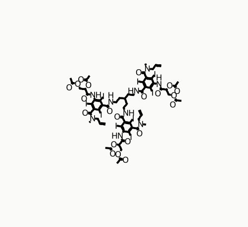 C=CCN(C)C(=O)c1c(I)c(NC(=O)C(COC(C)=O)OC(C)=O)c(I)c(C(=O)NCCC(CCNC(=O)c2c(I)c(NC(=O)C(COC(C)=O)OC(C)=O)c(I)c(C(=O)N(C)CC=C)c2I)CCNC(=O)c2c(I)c(NC(=O)C(COC(C)=O)OC(C)=O)c(I)c(C(=O)N(C)CC=C)c2I)c1I